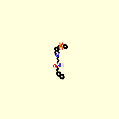 O=C(C=Cc1ccc2ccccc2c1)NCCCCN1CCc2ccc(CS(=O)(=O)c3ccccc3)cc2C1